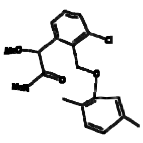 CNC(=O)C(OC)c1cccc(Cl)c1COc1cc(C)ccc1C